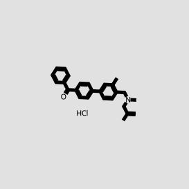 C=C(C)CN(C)Cc1ccc(-c2ccc(C(=O)c3ccccc3)cc2)cc1C.Cl